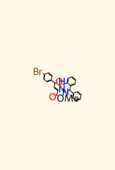 COC(=O)C(=CC(=O)c1ccc(Br)cc1)NN=C(c1ccccc1)c1ccccc1C